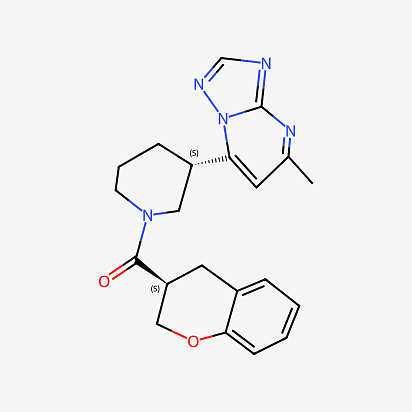 Cc1cc([C@H]2CCCN(C(=O)[C@@H]3COc4ccccc4C3)C2)n2ncnc2n1